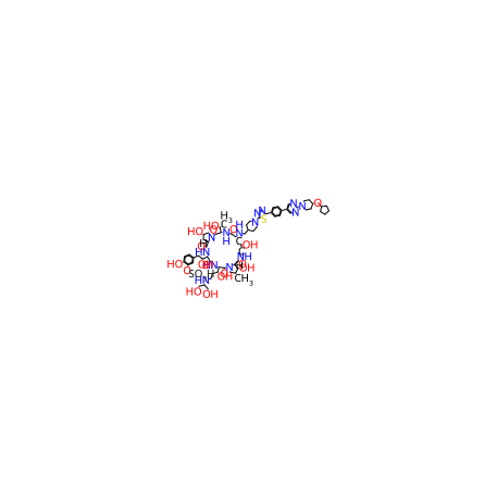 C[C@@H](O)[C@@H]1NC(=O)[C@@H](NCC2CCN(c3nnc(-c4ccc(-c5cnc(N6CCC(OC7CCCC7)CC6)nc5)cc4)s3)CC2)C[C@@H](O)CNC(=O)[C@@H]2[C@@H](O)[C@@H](C)CN2C(=O)[C@H]([C@H](O)CCNC(CO)CO)NC(=O)[C@H]([C@H](O)Cc2ccc(O)c(OS(=O)(=O)O)c2)NC(=O)[C@@H]2C[C@@H](O)CN2C1=O